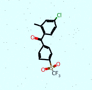 Cc1cc(Cl)ccc1C(=O)c1ccc(S(=O)(=O)C(F)(F)F)cc1